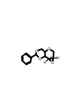 c1ccc(C2OCC3OC[C@@H]4O[C@@H]4C3O2)cc1